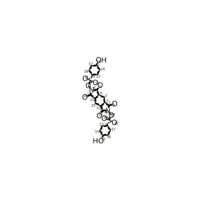 O=c1c2cc3c(=O)n(OS(=O)(=O)c4ccc(O)cc4)c(=O)c3cc2c(=O)n1OS(=O)(=O)c1ccc(O)cc1